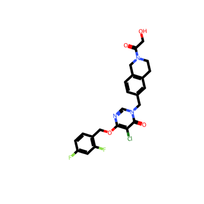 O=C(CO)N1CCc2cc(Cn3cnc(OCc4ccc(F)cc4F)c(Cl)c3=O)ccc2C1